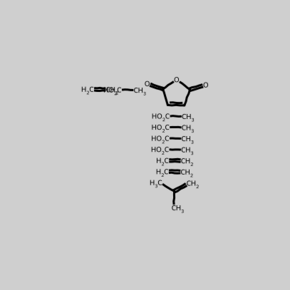 C=C.C=C.C=C.C=C(C)C.CC(=O)O.CC(=O)O.CC(=O)O.CC(=O)O.CC(=O)O.O=C1C=CC(=O)O1